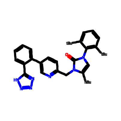 CCCCc1cn(-c2c(C(C)(C)C)cccc2C(C)(C)C)c(=O)n1Cc1ccc(-c2ccccc2-c2nnn[nH]2)cn1